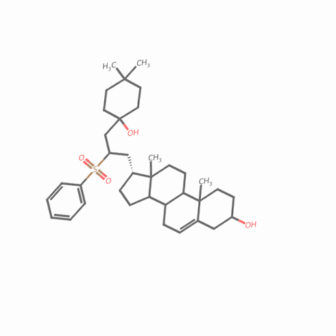 CC1(C)CCC(O)(CC(C[C@H]2CCC3C4CC=C5CC(O)CCC5(C)C4CCC32C)S(=O)(=O)c2ccccc2)CC1